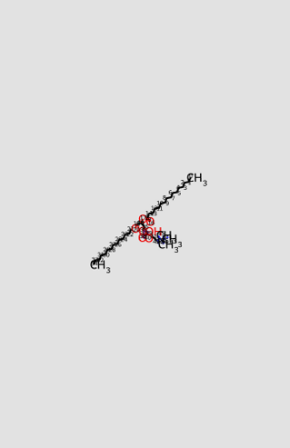 CCCCCCCCCCCCCCCC(=O)O[C@H](COCCCCCCCCCCCCCC)COP(=O)(O)OCC[N+](C)(C)C